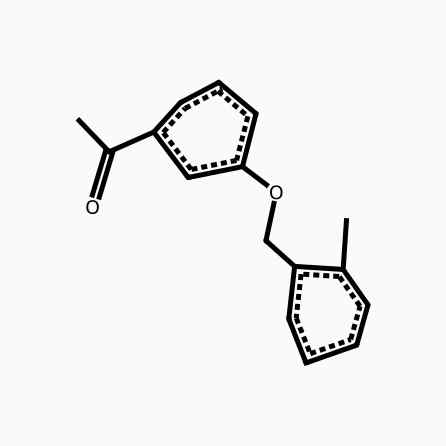 CC(=O)c1cccc(OCc2ccccc2C)c1